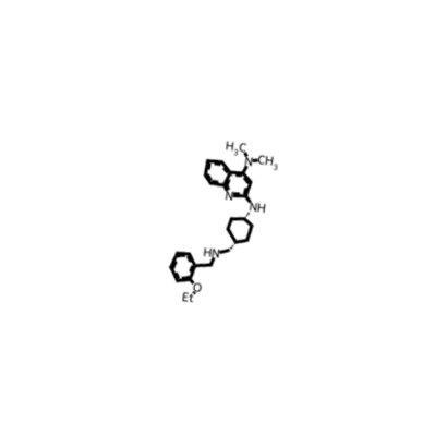 CCOc1ccccc1CNC[C@H]1CC[C@@H](Nc2cc(N(C)C)c3ccccc3n2)CC1